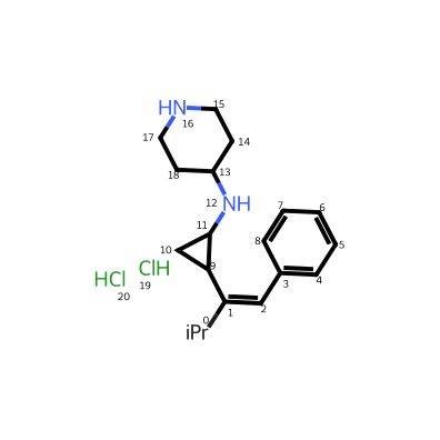 CC(C)C(=Cc1ccccc1)C1CC1NC1CCNCC1.Cl.Cl